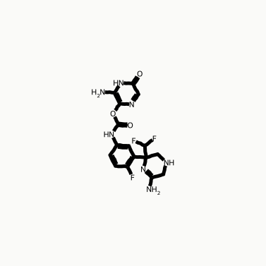 NC1=NC(c2cc(NC(=O)Oc3ncc(=O)[nH]c3N)ccc2F)(C(F)F)CNC1